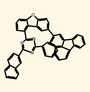 c1ccc(-c2nc(-c3ccc4ccccc4c3)nc(-c3cccc4oc5ccc(-c6cc7c8c(cccc8c6)-c6ccccc6-7)cc5c34)n2)cc1